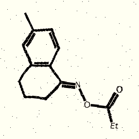 CCC(=O)O/N=C1\CCCc2cc(C)ccc21